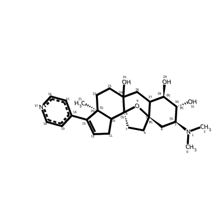 CN(C)[C@H]1C[C@@]23CC[C@]4(O2)C2CC=C(c5ccncc5)[C@@]2(C)CCC4(O)CC3[C@@H](O)[C@@H]1O